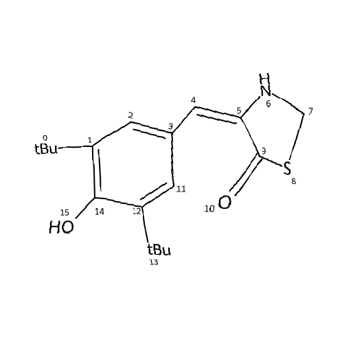 CC(C)(C)c1cc(C=C2NCSC2=O)cc(C(C)(C)C)c1O